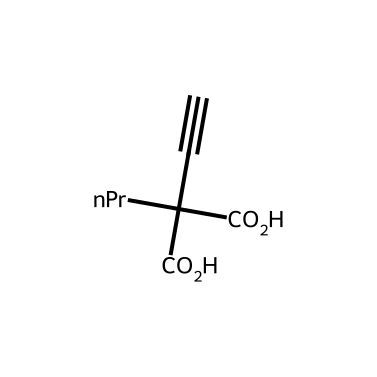 C#CC(CCC)(C(=O)O)C(=O)O